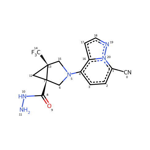 N#Cc1ccc(N2C[C@]3(C(=O)NN)C[C@]3(C(F)(F)F)C2)c2ccnn12